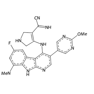 CNc1cc(F)cc2c1[nH]c1ncc(-c3cnc(OC)nc3)c(NC3=C(C(=N)C#N)CNC3)c12